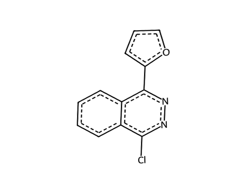 Clc1nnc(-c2ccco2)c2ccccc12